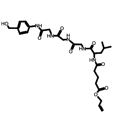 C=CCOC(=O)CCCC(=O)NC(CC(C)C)C(=O)NCC(=O)NCC(=O)NCC(=O)Nc1ccc(CO)cc1